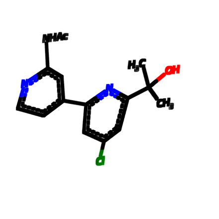 CC(=O)Nc1cc(-c2cc(Cl)cc(C(C)(C)O)n2)ccn1